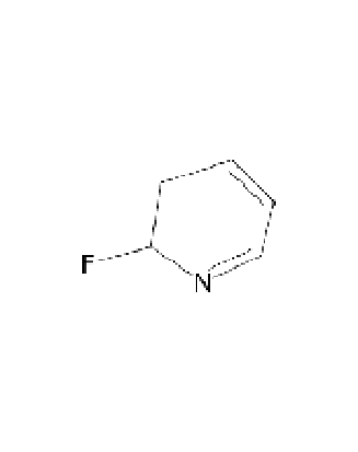 FC1CC=CC=N1